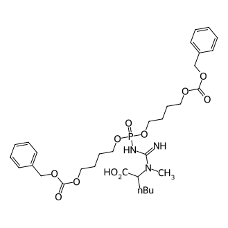 CCCCC(C(=O)O)N(C)C(=N)NP(=O)(OCCCCOC(=O)OCc1ccccc1)OCCCCOC(=O)OCc1ccccc1